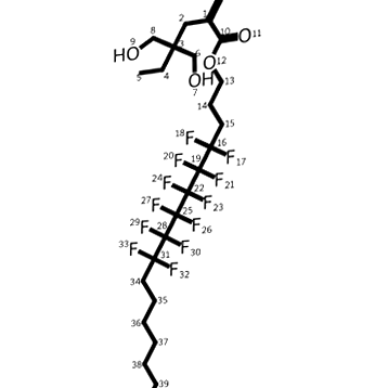 C=C(CC(CC)(CO)CO)C(=O)OCCCC(F)(F)C(F)(F)C(F)(F)C(F)(F)C(F)(F)C(F)(F)CCCCCCC